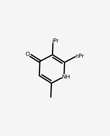 CCCc1[nH]c(C)cc(=O)c1C(C)C